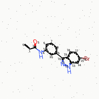 C=CC(=O)Nc1cccc(-c2n[nH]c3cc(Br)ccc23)c1